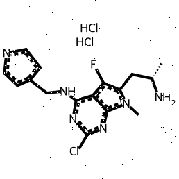 C[C@H](N)Cc1c(F)c2c(NCc3ccncc3)nc(Cl)nc2n1C.Cl.Cl